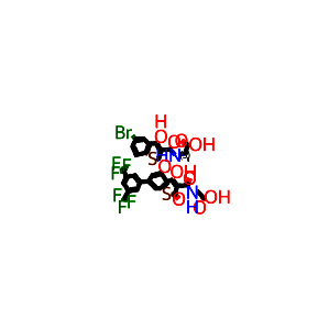 C[C@H](NC(=O)c1c(O)c2cc(Br)ccc2sc1=O)C(=O)O.O=C(O)CNC(=O)c1c(O)c2ccc(-c3cc(C(F)(F)F)cc(C(F)(F)F)c3)cc2sc1=O